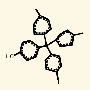 Cc1ccc(C(c2ccc(O)cc2)(c2ccc(I)cc2)c2ccc(I)cc2)cc1